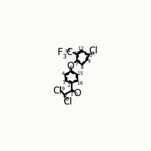 O=C(c1ccc(Oc2ccc(Cl)cc2C(F)(F)F)cc1)C(Cl)Cl